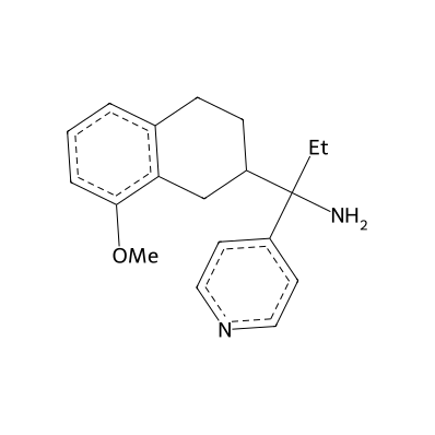 CCC(N)(c1ccncc1)C1CCc2cccc(OC)c2C1